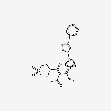 CC(=O)c1c(N2CCS(=O)(=O)CC2)nc2c(-c3ccn(-c4ccccc4)c3)cnn2c1N